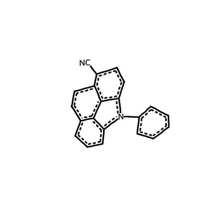 N#Cc1ccc2c3c1ccc1cccc(c13)n2-c1ccccc1